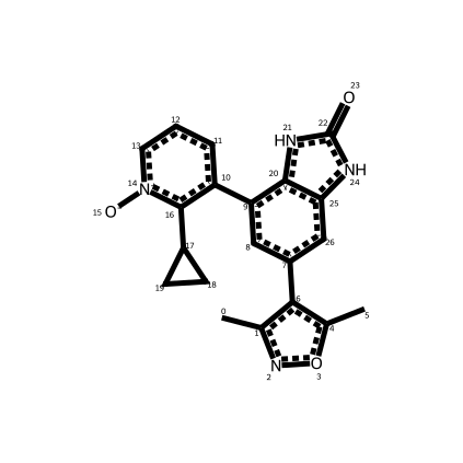 Cc1noc(C)c1-c1cc(-c2ccc[n+]([O-])c2C2CC2)c2[nH]c(=O)[nH]c2c1